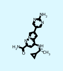 C[C@@H](Nc1cc(C(N)=O)nn2cc(-c3cnc(N)nc3)cc12)C1CC1